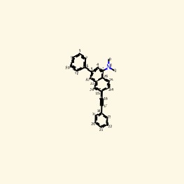 CN(C)c1cc(-c2ccccc2)cc2cc(C#Cc3cc[c]cc3)ccc12